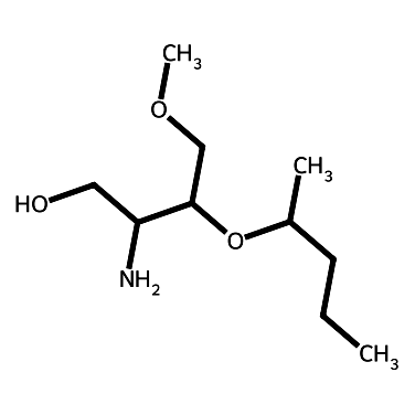 CCCC(C)OC(COC)C(N)CO